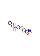 O=C(Nc1ccc(Oc2ccnc(NC(=O)C3CC3)c2)cc1)Oc1ccccc1